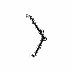 CC(C)CCCCCCCCCCCCCOC(=O)CCCCC(=O)OCCCCCCCCCCCCCC(C)C